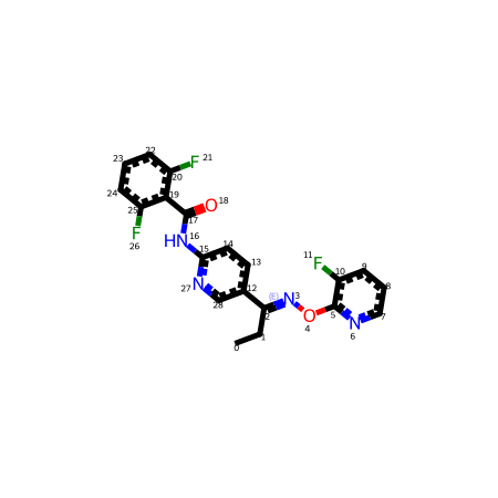 CC/C(=N\Oc1ncccc1F)c1ccc(NC(=O)c2c(F)cccc2F)nc1